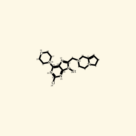 CCn1c(CN2CCN3CCC=C3C2)nc2c(N3CCOCC3)nc(Cl)nc21